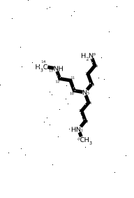 CNCCCN(CCCN)CCCNC